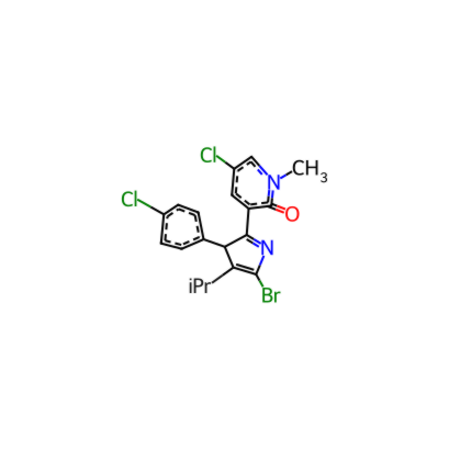 CC(C)C1=C(Br)N=C(c2cc(Cl)cn(C)c2=O)C1c1ccc(Cl)cc1